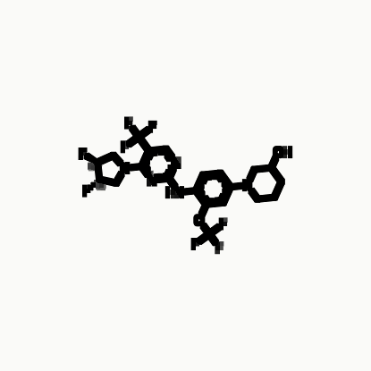 OC1CCCN(c2ccc(Nc3ncc(C(F)(F)F)c(N4C[C@H](F)[C@@H](F)C4)n3)c(OC(F)(F)F)c2)C1